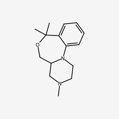 CN1CCN2c3ccccc3C(C)(C)OCC2C1